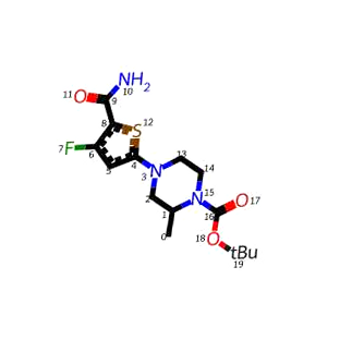 CC1CN(c2cc(F)c(C(N)=O)s2)CCN1C(=O)OC(C)(C)C